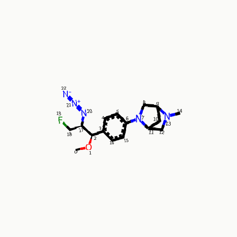 CO[C@H](c1ccc(N2CC3CC2CN3C)cc1)[C@@H](CF)N=[N+]=[N-]